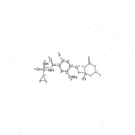 C=C1CC(C)CC(CC)(COc2cc(F)c(C(=O)NS(=N)(=O)C3CC3)cc2OC)C1